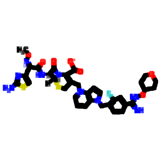 CO/N=C(\C(=O)N[C@@H]1C(=O)N2C(C(=O)[O-])=C(C[n+]3cccc4c3ccn4Cc3ccc(C(=N)NOC4CCOCC4)cc3F)CS[C@H]12)c1csc(N)n1